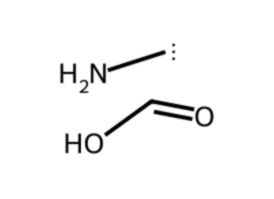 O=CO.[C]N